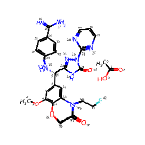 CC(=O)O.COc1cc([C@H](Nc2ccc(C(=N)N)cc2)c2nn(-c3ncccn3)c(=O)[nH]2)cc2c1OCC(=O)N2CCF